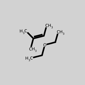 CC=C(C)C.CCOCC